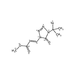 [2H]C(C)(C)n1nnn(/C=C/C(=O)OC)c1=O